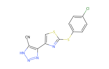 N#Cc1[nH]nnc1-c1csc(Sc2ccc(Cl)cc2)n1